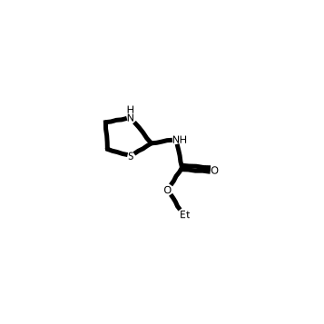 CCOC(=O)NC1NCCS1